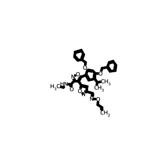 C=CCO/N=C/c1cc(-c2c(C(=O)NCC)noc2-c2cc(C(C)C)c(OCc3ccccc3)cc2OCc2ccccc2)on1